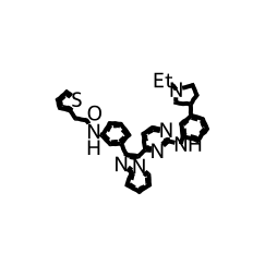 CCN1CCC(c2cccc(Nc3nccc(-c4c(-c5cccc(NC(=O)Cc6cccs6)c5)nc5ccccn45)n3)c2)C1